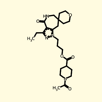 CCc1nn(CCCOC(=O)C2CCN(C(C)=O)CC2)c2c1C(=O)NCC1(CCOCC1)C2